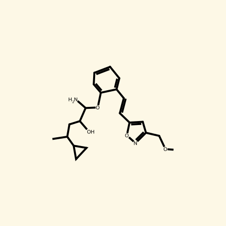 COCc1cc(C=Cc2ccccc2OC(N)C(O)CC(C)C2CC2)on1